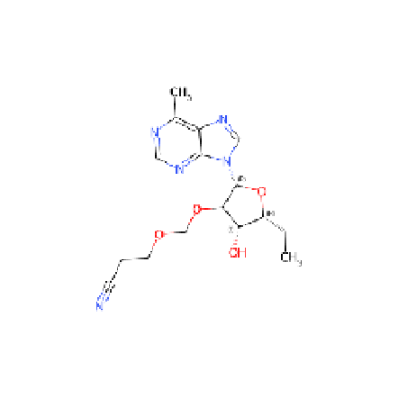 CC[C@H]1O[C@@H](n2cnc3c(C)ncnc32)C(OCOCCC#N)[C@H]1O